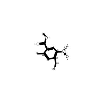 COC(=O)c1cc([N+](=O)[O-])c(CI)cc1C